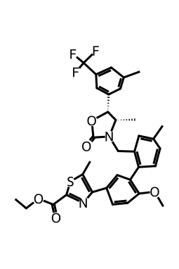 CCOC(=O)c1nc(-c2ccc(OC)c(-c3ccc(C)cc3CN3C(=O)O[C@H](c4cc(C)cc(C(F)(F)F)c4)[C@@H]3C)c2)c(C)s1